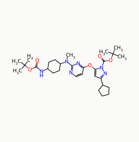 CN(c1nccc(Oc2cc(C3CCCC3)nn2C(=O)OC(C)(C)C)n1)C1CCC(NC(=O)OC(C)(C)C)CC1